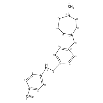 COc1ccc(NCc2ccc(CN3CCCN(C)CC3)cc2)cc1